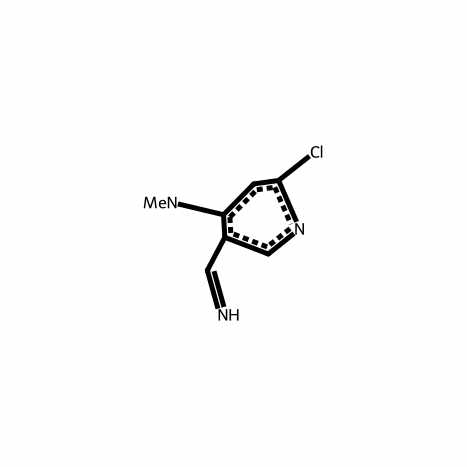 CNc1cc(Cl)ncc1C=N